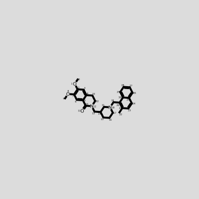 COc1cc2c(cc1OC)C(=O)N(CC1CCCN(Cc3c(C)ccc4ccccc34)C1)CC2